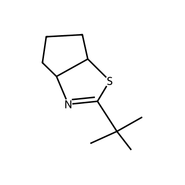 CC(C)(C)C1=NC2CCCC2S1